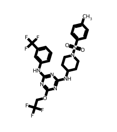 Cc1ccc(S(=O)(=O)N2CCC(Nc3nc(Nc4cccc(C(F)(F)F)c4)nc(OCC(F)(F)F)n3)CC2)cc1